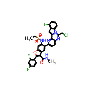 CCS(=O)(=O)Nc1cc2oc(-c3ccc(F)cc3F)c(C(=O)NC)c2cc1-c1ccc2nc(CCl)n3c4cccc(F)c4cc3c2n1